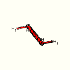 CCCCCCCCCCCCCCCCNC(=O)C(F)(F)OC(F)(F)C(F)(F)OC(F)(F)C(F)(F)OC(F)(F)C(F)(F)OC(F)(F)C(F)(F)OC(F)(F)C(F)(F)OC(F)(F)C(F)(F)OC(F)(F)C(F)(F)OC(F)(F)C(F)(F)OC(F)(F)C(F)(F)OC(F)(F)C(F)(F)OC(F)(F)C(F)(F)OC(F)(F)C(=O)NCCCCCCCCCCCCCCCC